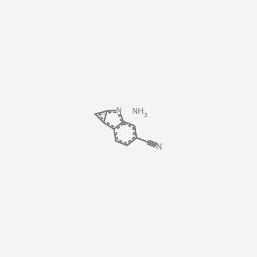 N.N#Cc1ccc2c3cc-3nc2c1